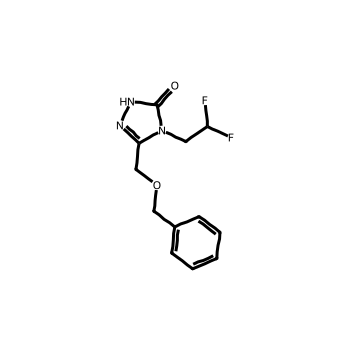 O=c1[nH]nc(COCc2ccccc2)n1CC(F)F